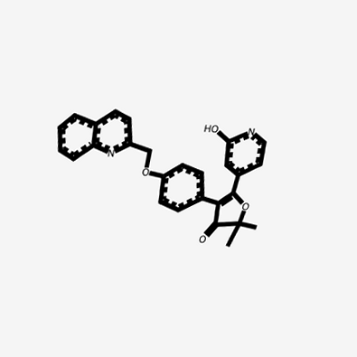 CC1(C)OC(c2ccnc(O)c2)=C(c2ccc(OCc3ccc4ccccc4n3)cc2)C1=O